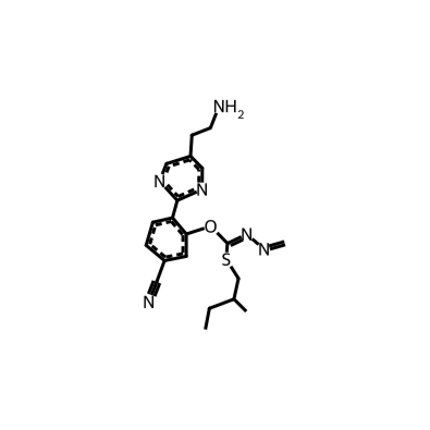 C=N/N=C(/Oc1cc(C#N)ccc1-c1ncc(CCN)cn1)SCC(C)CC